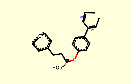 C/C=C\C(=C/C)c1ccc(O[C@@H](CCc2ccccc2)C(=O)O)cc1